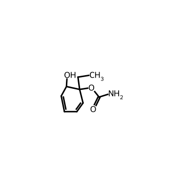 CCC1(OC(N)=O)C=CC=CC1O